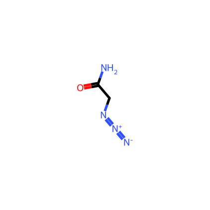 [N-]=[N+]=NCC(N)=O